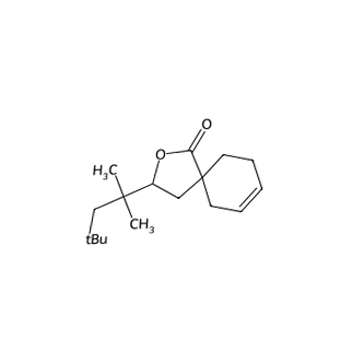 CC(C)(C)CC(C)(C)C1CC2(CC=CCC2)C(=O)O1